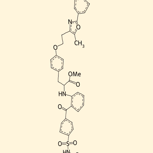 CCCNS(=O)(=O)c1ccc(C(=O)c2ccccc2NC(Cc2ccc(OCCc3nc(-c4ccccc4)oc3C)cc2)C(=O)OC)cc1